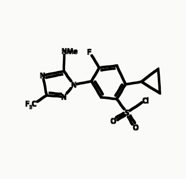 CNc1nc(C(F)(F)F)nn1-c1cc(S(=O)(=O)Cl)c(C2CC2)cc1F